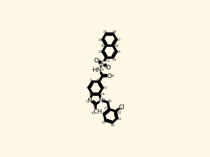 Cc1nc2ccc(C(=O)NS(=O)(=O)c3ccc4ccccc4c3)cc2n1Cc1ccccc1Cl